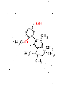 COc1ccc(CO)cc1-c1cc2c(cc1C)C(C)(C)CC(C)C2C